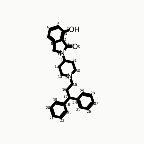 O=C1c2c(O)cccc2CN1C1CCN(CCC(c2ccccc2)c2ccccc2)CC1